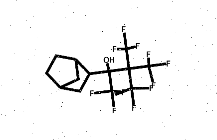 OC(C1CC2CCC1C2)(C(F)(F)F)C(C(F)(F)F)(C(F)(F)F)C(F)(F)F